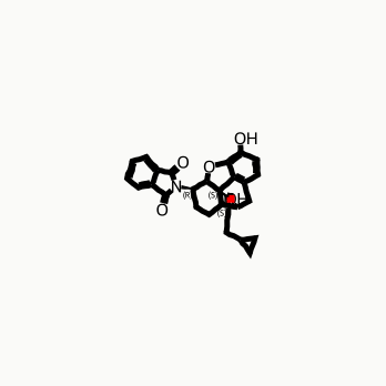 O=C1c2ccccc2C(=O)N1[C@@H]1CC[C@@]2(O)C3Cc4ccc(O)c5c4[C@@]2(CCN3CC2CC2)C1O5